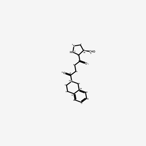 O=C[C@@H]1CSNC1C(=O)CCC(=O)N1CCc2ccccc2C1